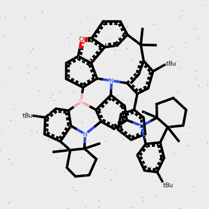 CC(C)(C)c1ccc2c(c1)C1(C)CCCCC1(C)N2c1cc2c3c(c1)N1c4c(cc(C(C)(C)C)cc4C4(C)CCCCC14C)B3c1ccc3oc4ccc5cc4c3c1N2c1cc(c(C(C)(C)C)cc1-c1ccccc1)C5(C)C